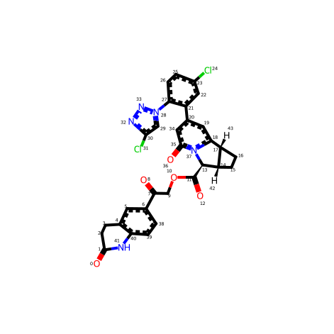 O=C1CCc2cc(C(=O)COC(=O)[C@@H]3[C@H]4CC[C@H]4c4cc(-c5cc(Cl)ccc5-n5cc(Cl)nn5)cc(=O)n43)ccc2N1